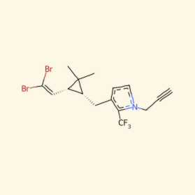 C#CCn1ccc(C[C@@H]2[C@H](C=C(Br)Br)C2(C)C)c1C(F)(F)F